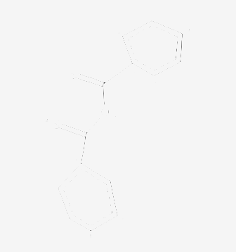 S=C(OC(=S)c1ccccc1)c1ccccc1